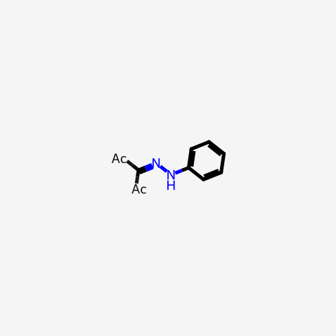 CC(=O)C(=NNc1ccccc1)C(C)=O